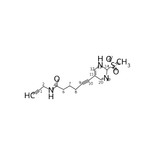 C#CCNC(=O)CCCC#CC1=CNC(S(C)(=O)=O)N=C1